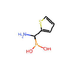 NC(c1cccs1)P(O)O